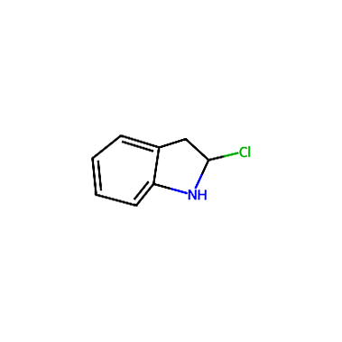 ClC1Cc2ccccc2N1